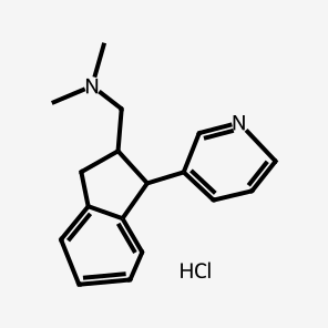 CN(C)CC1Cc2ccccc2C1c1cccnc1.Cl